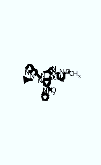 COc1cccc(-n2cc(Cn3c(-c4cc5cccnc5n4CC4CC4)nc4cc(C(=O)N5CC6CCC5C6N)cc(OC)c43)cn2)n1